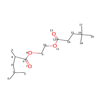 CC(C)CC(C)C(=O)OCCOC(=O)CCC(C)(C)C